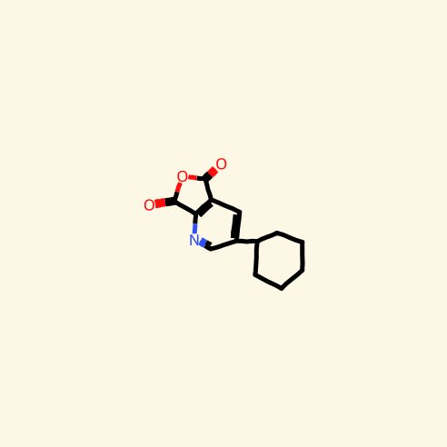 O=C1OC(=O)c2ncc(C3CCCCC3)cc21